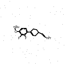 CCC/C=C/C1CC=C(c2ccc(OCCCC)c(F)c2F)CC1